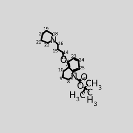 CC(C)(C)OC(=O)N1CCCc2c(OCCCN3CCCCC3)cccc21